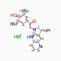 Br.CCCC1CN(CC(=O)c2cc(C(C)(C)C)c(O)c(C(C)(C)C)c2)C(=N)C1=Cc1ccccn1